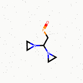 O=PCC(N1CC1)N1CC1